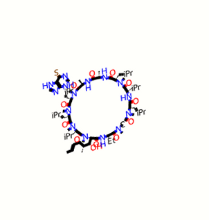 C/C=C/C[C@@H](C)[C@@H](O)[C@H]1C(=O)N[C@@H](CC)C(=O)N(C)CC(=O)N(C)[C@@H](CC(C)C)C(=O)N[C@@H](C(C)C)C(=O)N(C)[C@@H](CC(C)C)C(=O)N[C@@H](C)C(=O)N[C@H](C)C(=O)N(C)[C@@H](CC(C)C)C(=O)N(C)[C@@H](CC(C)C)C(=O)N(C)[C@@H](C(C)C)C(=O)N1C.S=c1nc[nH]c2nc[nH]c12